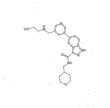 O=C(NCC1CCOCC1)c1n[nH]c2ccc(-c3cncc(CNCCO)c3)cc12